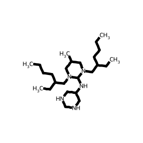 CCCCC(CC)CN1CC(C)CN(CC(CC)CCCC)C1NC1CNCNC1